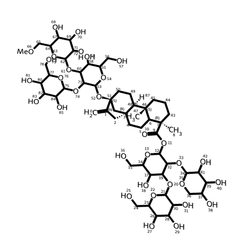 C=C1C[C@@]23CCC4[C@](C)(C(=O)OC5OC(CO)C(O)C(OC6OC(CO)C(O)C(O)C6O)C5OC5OCC(O)C(O)C5O)CCC[C@@]4(C)[C@@H]2CC[C@]1(OC1OC(CO)C(O)C(OC2OC(COC)C(O)C(O)C2O)C1OC1OC(CO)C(O)C(O)C1O)C3